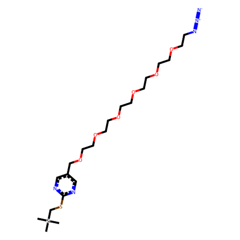 C[Si](C)(C)CSc1ncc(COCCOCCOCCOCCOCCOCCN=[N+]=[N-])cn1